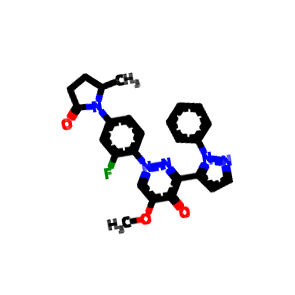 COc1cn(-c2ccc(N3C(=O)CCC3C)cc2F)nc(-c2ccnn2-c2ccccc2)c1=O